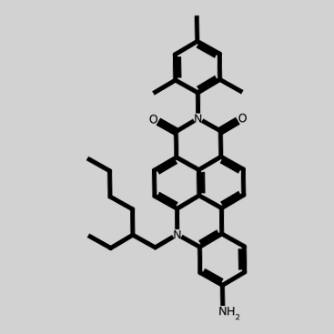 CCCCC(CC)Cn1c2cc(N)ccc2c2ccc3c(=O)n(-c4c(C)cc(C)cc4C)c(=O)c4ccc1c2c34